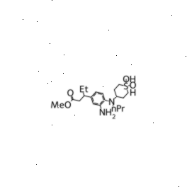 CCCN(c1ccc(C(CC)CC(=O)OC)cc1N)C1CCS(O)(O)CC1